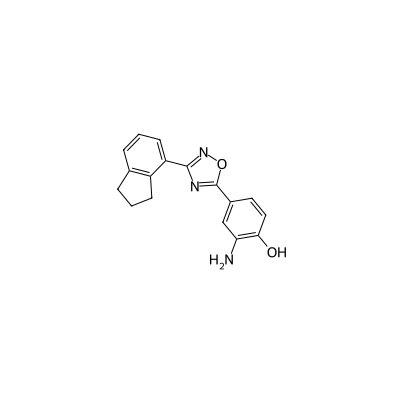 Nc1cc(-c2nc(-c3cccc4c3CCC4)no2)ccc1O